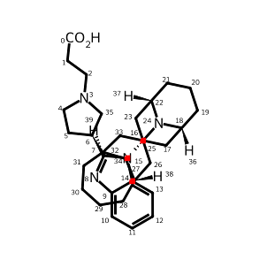 O=C(O)CCN1CC[C@H](c2nc3ccccc3n2[C@H]2C[C@H]3CCC[C@@H](C2)N3C2C[C@@H]3CCCC[C@@H](C2)C3)C1